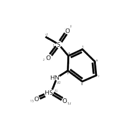 CS(=O)(=O)c1ccccc1N[SH](=O)=O